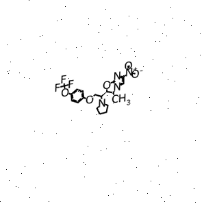 CC1[C@@H](C(COc2ccc(OC(F)(F)F)cc2)N2CCCC2)Oc2nc([N+](=O)[O-])cn21